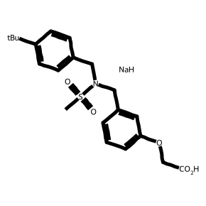 CC(C)(C)c1ccc(CN(Cc2cccc(OCC(=O)O)c2)S(C)(=O)=O)cc1.[NaH]